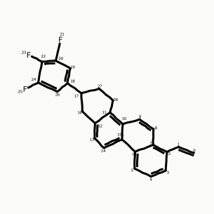 C=Cc1cccc2c1ccc1c3c(ccc12)CC(c1cc(F)c(F)c(F)c1)CC3